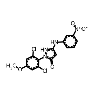 COc1cc(Cl)c(-n2[nH]c(Nc3cccc([N+](=O)[O-])c3)cc2=O)c(Cl)c1